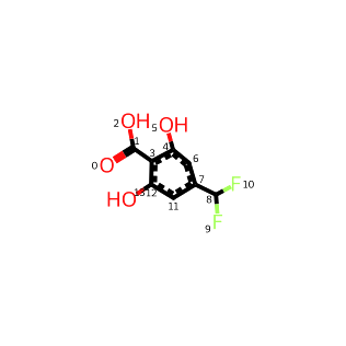 O=C(O)c1c(O)cc(C(F)F)cc1O